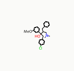 COc1cccc(C(O)(Cc2ccc(Cl)cc2)C(Cc2ccccc2)CN(C)C)c1